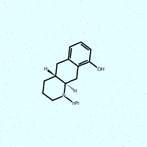 CCCN1CCC[C@@H]2Cc3cccc(O)c3C[C@H]21